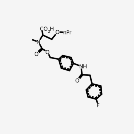 CCCOCC(C(=O)O)N(C)C(=O)OCc1ccc(NC(=O)Cc2ccc(F)cc2)cc1